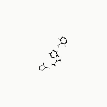 Cc1cc(OCc2c(F)cccc2F)c2nc(C)c(C(=O)NNC3CCCC3O)n2c1